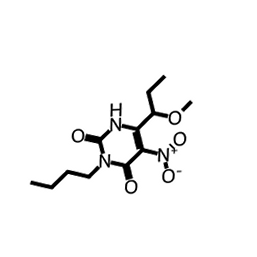 CCCCn1c(=O)[nH]c(C(CC)OC)c([N+](=O)[O-])c1=O